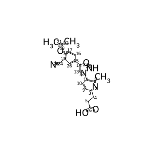 Cc1nc(CCC(=O)O)ccc1N1C=C(c2ccc(OC(C)C)c(C#N)c2)ON1